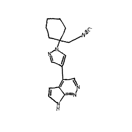 [C-]#[N+]CC1(n2cc(-c3cnnc4[nH]ccc34)cn2)CCCCC1